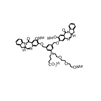 COCCOCCOCCN(CCCC(=O)O)c1cc(COc2cc3c(cc2OC)C(=O)N2c4ccccc4C[C@H]2C=N3)cc(COc2cc3c(cc2OC)C(=O)N2c4ccccc4C[C@H]2C=N3)c1